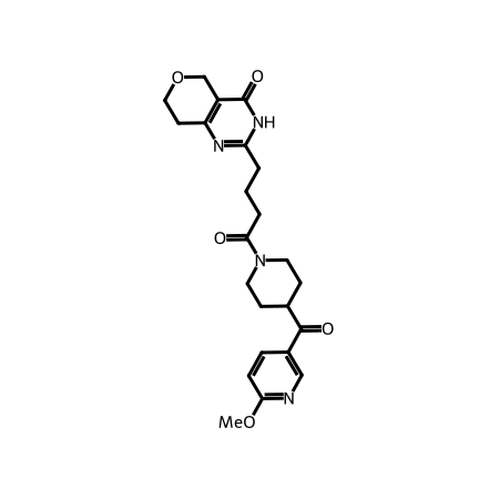 COc1ccc(C(=O)C2CCN(C(=O)CCCc3nc4c(c(=O)[nH]3)COCC4)CC2)cn1